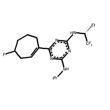 CC[C@@H](Nc1nc(NC(C)C)nc(C2=CCC(F)CCC2)n1)C(F)(F)F